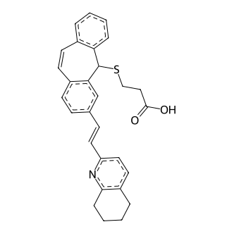 O=C(O)CCSC1c2ccccc2C=Cc2ccc(C=Cc3ccc4c(n3)CCCC4)cc21